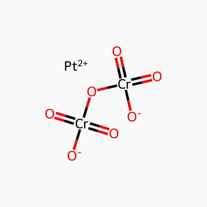 [O]=[Cr](=[O])([O-])[O][Cr](=[O])(=[O])[O-].[Pt+2]